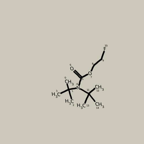 CC(C)(C)N(C(=O)OCCF)C(C)(C)C